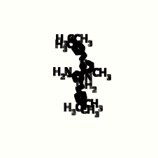 C[C@@H]1CCN(CCc2ccc(C(C)(C)C)cc2)CC(C2C[C@H](CN)CN(CCc3ccc(C(C)(C)C)cc3)C2)C1N